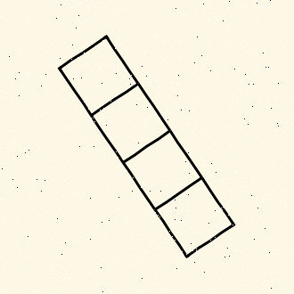 C1CC2C1C1C3CCC3C21